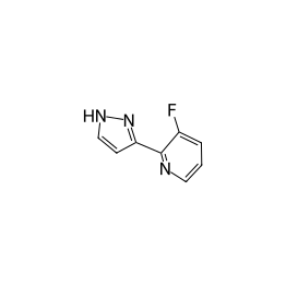 Fc1cccnc1-c1cc[nH]n1